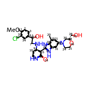 COc1ccc([C@@H](O)CNc2cc[nH]c(=O)c2-c2nc3c(C)cc(N4CCO[C@@H](CO)C4)cc3[nH]2)cc1Cl